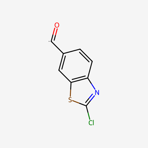 O=[C]c1ccc2nc(Cl)sc2c1